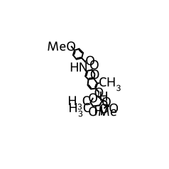 COc1ccc(C(=O)Nc2cc3ccc(O[C@@H]4OC(C)(C)[C@H](OC)[C@@H]5OC(=O)O[C@H]45)c(C)c3oc2=O)cc1